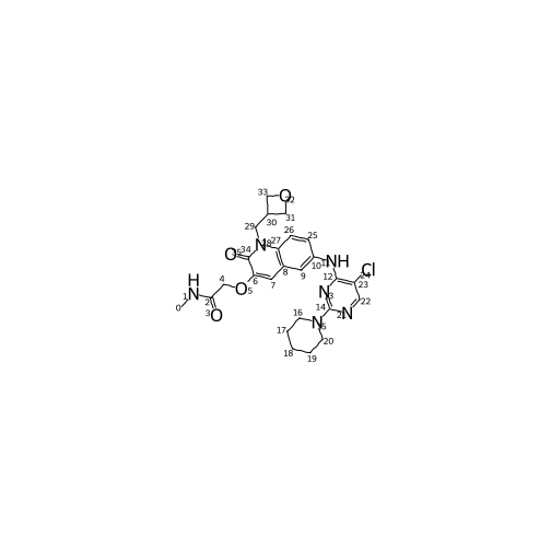 CNC(=O)COc1cc2cc(Nc3nc(N4CCCCC4)ncc3Cl)ccc2n(CC2COC2)c1=O